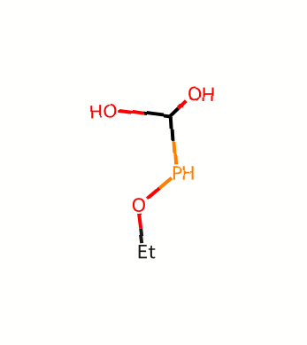 CCOPC(O)O